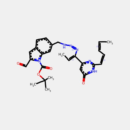 C/C=C\C=C/c1nc(C(=C/C)/N=N\NCc2ccc3cc(C=O)n(C(=O)OC(C)(C)C)c3c2)cc(=O)[nH]1